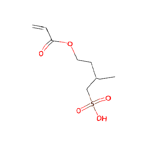 C=CC(=O)OCCC(C)CS(=O)(=O)O